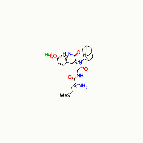 CSCC[C@@H](N)C(=O)NCC(=O)N(C1C2CC3CC(C2)CC1C3)[C@@H](Cc1ccccc1)C(N)=O.Cl.O